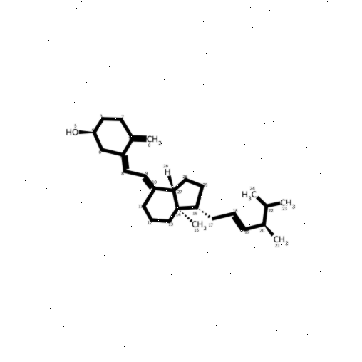 C=C1CC[C@H](O)C/C1=C/C=C1\CCC[C@]2(C)[C@@H](C/C=C/[C@H](C)C(C)C)CC[C@@H]12